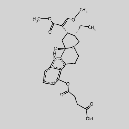 CC[C@@H]1CN2CCc3c([nH]c4cccc(OC(=O)CCC(=O)O)c34)[C@@H]2C[C@@H]1/C(=C\OC)C(=O)OC